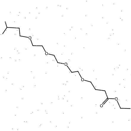 CCOC(=O)CCCOCCOCCOCCOCCC(C)C